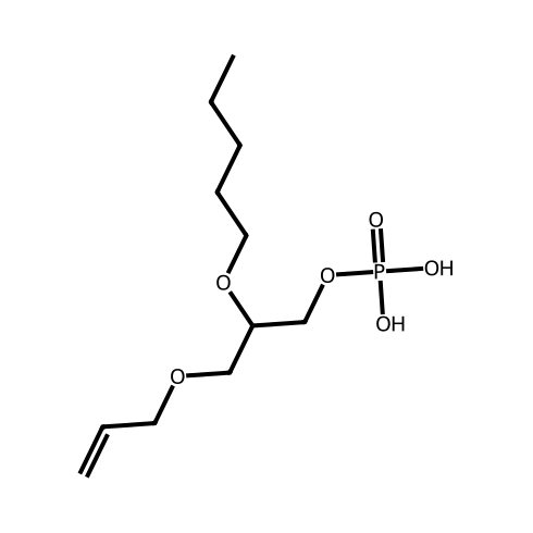 C=CCOCC(COP(=O)(O)O)OCCCCC